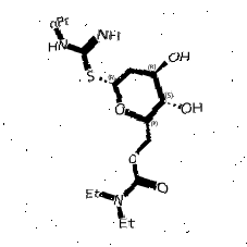 CCCNC(=N)S[C@@H]1C[C@@H](O)[C@H](O)[C@@H](COC(=O)N(CC)CC)O1